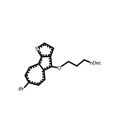 CCCCCCCCCCCCCOc1c2ccc(C(C)C)ccc-2c2sccc12